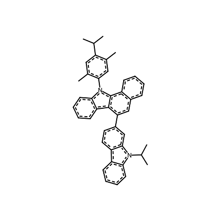 Cc1cc(-n2c3ccccc3c3c(-c4ccc5c6ccccc6n(C(C)C)c5c4)cc4ccccc4c32)c(C)cc1C(C)C